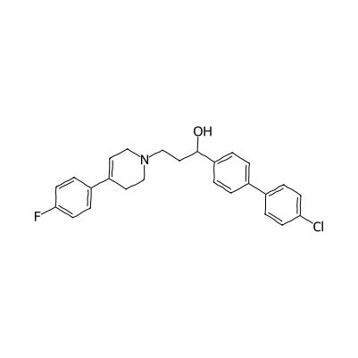 OC(CCN1CC=C(c2ccc(F)cc2)CC1)c1ccc(-c2ccc(Cl)cc2)cc1